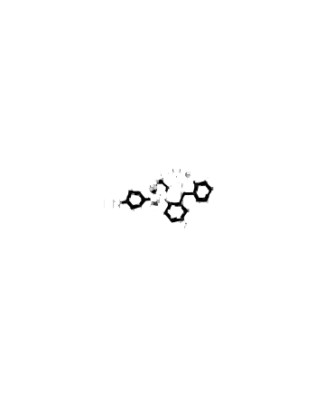 COC(=O)CN(c1ccc(Cl)cc1C(=O)c1ccccc1F)S(=O)(=O)c1ccc(N)cc1